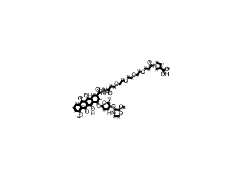 COc1cccc2c1C(=O)c1c(O)c3c(c(O)c1C2=O)CC(C(=O)NNC(=O)CCOCCOCCOCCOCCC(=O)N1CCC(C(=O)O)C1)C[C@@H]3O[C@H]1CC[C@H](O[C@H]2NCCO[C@@H]2OC)[C@H](C)O1